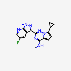 CNc1nc(-c2n[nH]c3ncc(F)cc23)nn2c(C3CC3)ccc12